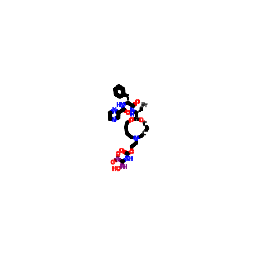 CC(C)C[C@@H](NC(=O)[C@@H](Cc1ccccc1)NC(=O)c1cnccn1)B1OCCCCN(CCOC(=O)NC(PO)P(=O)=O)CCCCO1